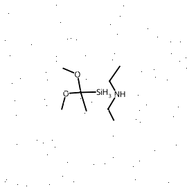 CCNCC.COC(C)([SiH3])OC